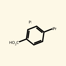 CC(C)c1ccc(C(=O)O)cc1.[P]